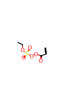 C=CC(=O)OOS(=O)(=O)OCC